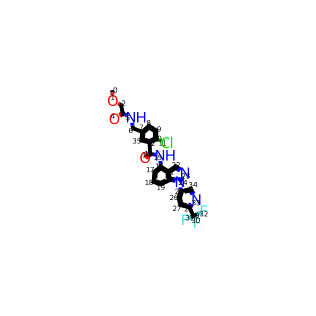 COCC(=O)NCc1ccc(Cl)c(C(=O)Nc2cccc3c2cnn3-c2ccc(C(F)(F)F)nc2)c1